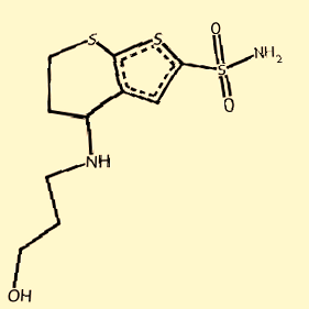 NS(=O)(=O)c1cc2c(s1)SCCC2NCCCO